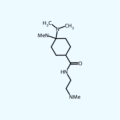 CNCCNC(=O)C1CCC(NC)(N(C)C)CC1